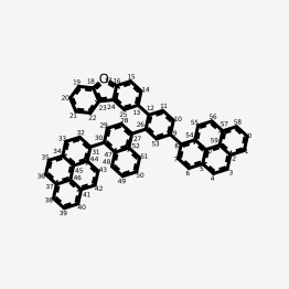 c1cc2ccc3ccc(-c4ccc(-c5ccc6oc7ccccc7c6c5)c(-c5ccc(-c6ccc7ccc8cccc9ccc6c7c89)c6ccccc56)c4)c4ccc(c1)c2c34